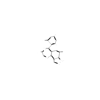 Cc1cnc2c(cc(Cl)c3nncc32)c(-c2ccccc2Cl)n1